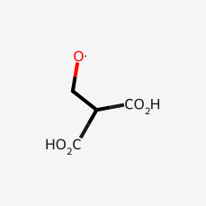 [O]CC(C(=O)O)C(=O)O